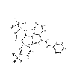 FC(F)(F)c1cc(C2CCC(C(F)(F)F)CC2)c(-c2cc(OCc3ccccc3)c3cnccc3n2)cn1